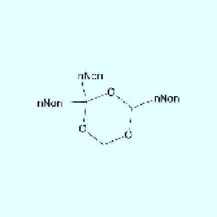 CCCCCCCCCC1OCOC(CCCCCCCCC)(CCCCCCCCC)O1